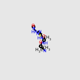 Cc1ccc(NC(=O)c2cccc(C(C)(C)C#N)c2)cc1NC(=O)c1cc2ncc(NCCN3CCOCC3)nc2s1